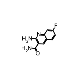 NC(=O)c1cc2ccc(F)cc2nc1N